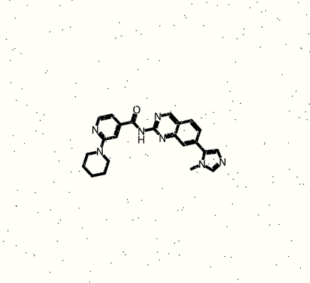 Cn1cncc1-c1ccc2cnc(NC(=O)c3ccnc(N4CCCCC4)c3)nc2c1